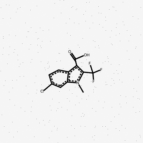 Cn1c(C(F)(F)F)c(C(=O)O)c2ccc(Cl)cc21